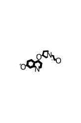 COc1ccc2c(O[C@H]3CCN(C[C]=O)C3)ccnc2c1